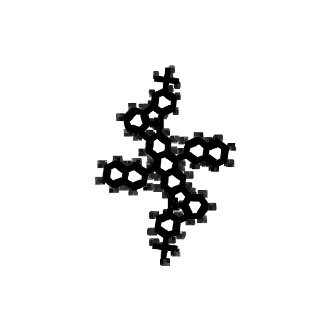 CC(C)(C)c1ccc2c(c1)c1cccc3c4cc5c(-c6ccc7ccccc7c6)c6cc7c(cc6c(-c6ccc8ccccc8c6)c5cc4n2c13)c1cccc2c3cc(C(C)(C)C)ccc3n7c21